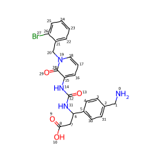 NCc1ccc(C(CC(=O)O)NC(=O)Nc2cccn(Cc3ccccc3Br)c2=O)cc1